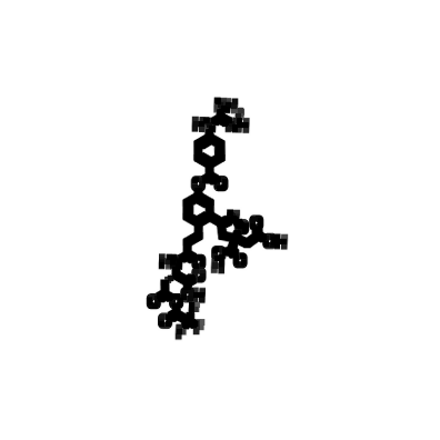 N=C(N)Nc1ccc(C(=O)Oc2ccc(CCC(=O)N[C@@H](CC(=O)OC(=O)C(F)(F)F)C(=O)O)c(C3=NOC(CC(=O)O)(C(=O)O)C3)c2)cc1